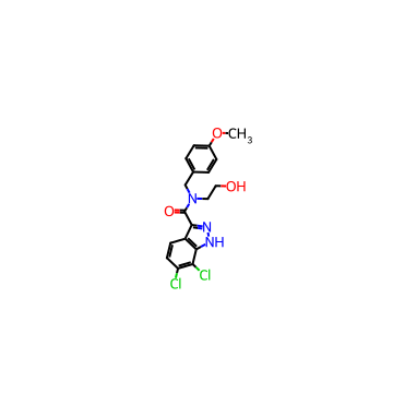 COc1ccc(CN(CCO)C(=O)c2n[nH]c3c(Cl)c(Cl)ccc23)cc1